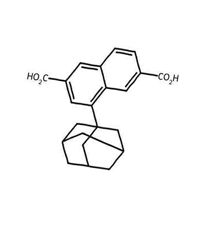 O=C(O)c1cc(C23CC4CC(CC(C4)C2)C3)c2cc(C(=O)O)ccc2c1